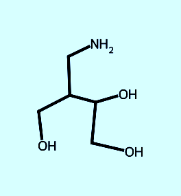 NCC(CO)C(O)CO